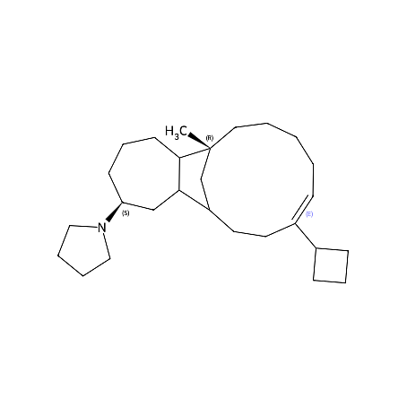 C[C@@]12CCCC/C=C(/C3CCC3)CCC(C1)C1C[C@@H](N3CCCC3)CCCC12